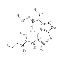 CCCC(=O)C(CC)c1coc(C)c1Sc1c(C(CC)C(=O)CCC)coc1C